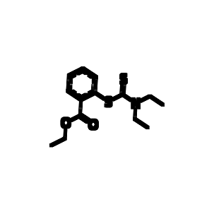 CCOC(=O)c1ccccc1SC(=S)N(CC)CC